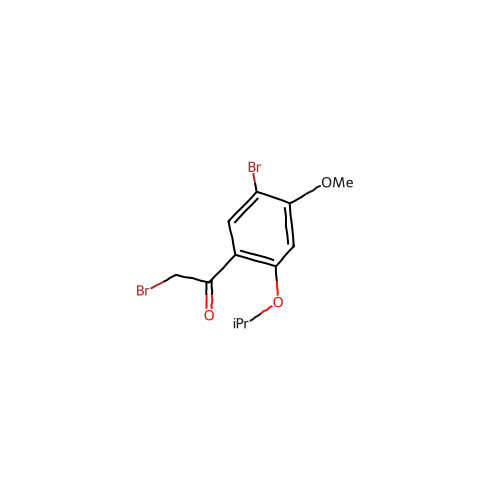 COc1cc(OC(C)C)c(C(=O)CBr)cc1Br